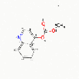 COC(=O)Oc1ccnc2ccccc12